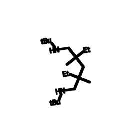 CCC(C)(CNC(C)(C)C)CC(C)(CC)CNC(C)(C)C